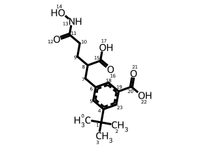 CC(C)(C)c1cc(CC(CCC(=O)NO)C(=O)O)cc(C(=O)O)c1